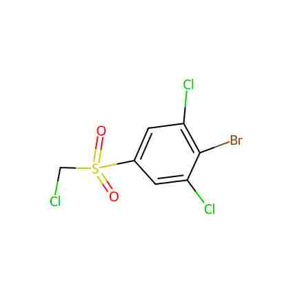 O=S(=O)(CCl)c1cc(Cl)c(Br)c(Cl)c1